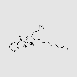 CCCCCCCCC(CCC)OC(C)(O)C(=O)c1ccccc1